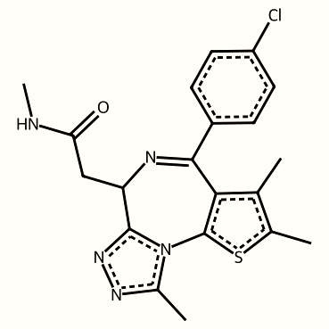 CNC(=O)CC1N=C(c2ccc(Cl)cc2)c2c(sc(C)c2C)-n2c(C)nnc21